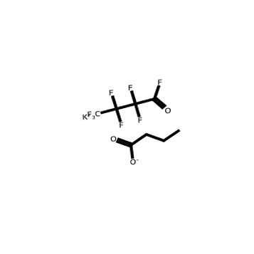 CCCC(=O)[O-].O=C(F)C(F)(F)C(F)(F)C(F)(F)F.[K+]